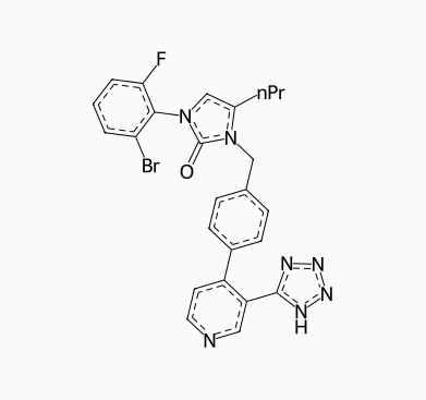 CCCc1cn(-c2c(F)cccc2Br)c(=O)n1Cc1ccc(-c2ccncc2-c2nnn[nH]2)cc1